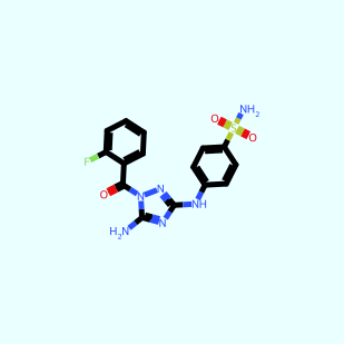 Nc1nc(Nc2ccc(S(N)(=O)=O)cc2)nn1C(=O)c1ccccc1F